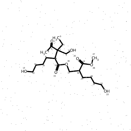 CCC(CO)(C(C)=O)C(CCCCO)C(=O)OCC(CCCCO)C(=O)OC